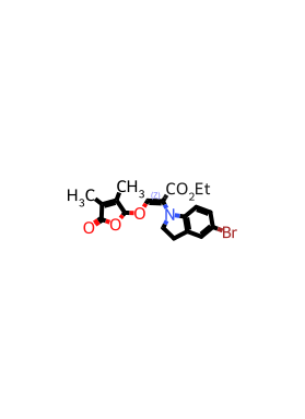 CCOC(=O)/C(=C/OC1OC(=O)C(C)=C1C)N1CCc2cc(Br)ccc21